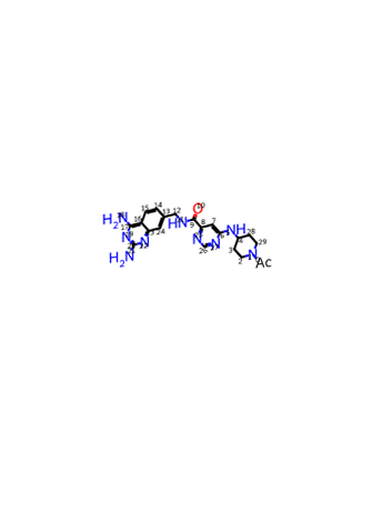 CC(=O)N1CCC(Nc2cc(C(=O)NCc3ccc4c(N)nc(N)nc4c3)ncn2)CC1